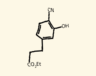 CCOC(=O)CCc1ccc(C#N)c(O)c1